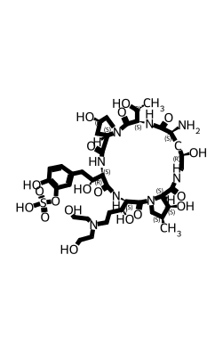 C[C@@H](O)[C@@H]1NC(=O)[C@@H](N)C[C@@H](O)CNC(=O)[C@@H]2[C@@H](O)[C@@H](C)CN2C(=O)[C@H]([C@H](O)CCN(CCO)CCO)NC(=O)[C@H]([C@H](O)Cc2ccc(O)c(OS(=O)(=O)O)c2)NC(=O)[C@@H]2C[C@@H](O)CN2C1=O